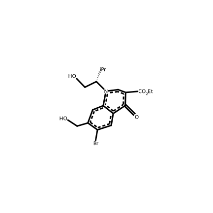 CCOC(=O)c1cn([C@H](CO)C(C)C)c2cc(CO)c(Br)cc2c1=O